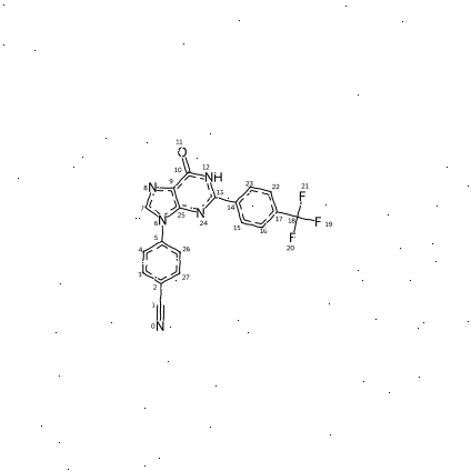 N#Cc1ccc(-n2cnc3c(=O)[nH]c(-c4ccc(C(F)(F)F)cc4)nc32)cc1